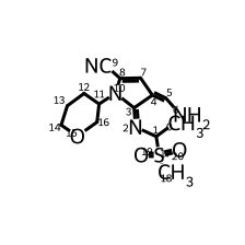 CC(/N=C1\C(=C/N)C=C(C#N)N1C1CCCOC1)S(C)(=O)=O